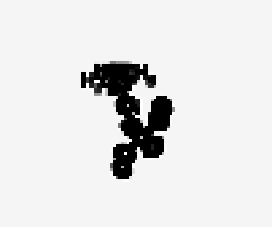 CC1(C)N=C(c2ccc(-c3ccc4c(-c5ccc6ccccc6c5)c5ccccc5c(-c5ccc6ccccc6c5)c4c3)nc2)SC1(C)C